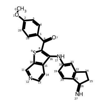 COc1ccc(C(=O)c2sc3cnccc3c2Nc2ccc3c(c2)CCC3=N)cc1